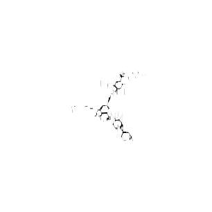 CCOc1cc(C(=O)NC)c(F)cc1NCC#Cc1cc(C(=O)N[C@H]2CCN(C3CCOCC3)C[C@@H]2C)c2ncn(CC(F)(F)F)c2c1